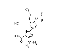 C[C@H](N)c1oc(-c2ccc(OC(F)F)c(OCC3CC3)c2)nc1C(N)=O.Cl